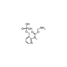 CN(C(=O)OCN)c1ncccc1COP(=O)(O)O